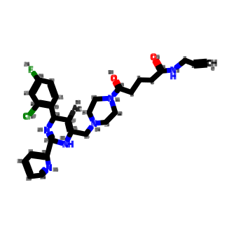 C#CCNC(=O)CCCC(=O)N1CCN(CC2=C(C(C)=O)C(c3ccc(F)cc3Cl)N=C(c3ccccn3)N2)CC1